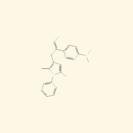 [CH2]C=C(Cc1cc(C)n(-c2ccccc2)c1C)c1ccc(N(C)C)cc1